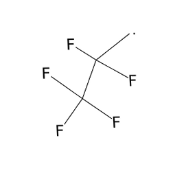 [CH2]C(F)(F)C(F)(F)F